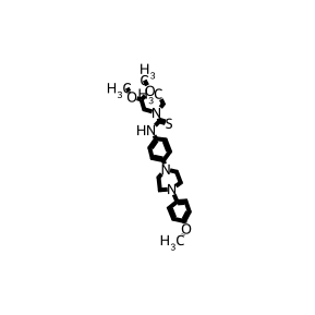 CCN(CC(OC)OC)C(=S)Nc1ccc(N2CCN(c3ccc(OC)cc3)CC2)cc1